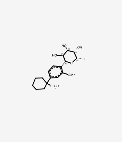 COc1cc(C2(C(=O)O)CCCCC2)ccc1[C@H]1O[C@@H](C)[C@@H](O)[C@@H](O)[C@@H]1O